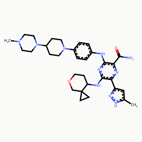 Cc1cc(-c2nc(C(N)=O)c(Nc3ccc(N4CCC(N5CCN(C)CC5)CC4)cc3)nc2NC2CCOCC23CC3)n[nH]1